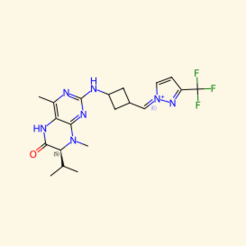 Cc1nc(NC2CC(/C=[N+]3\C=CC(C(F)(F)F)=N3)C2)nc2c1NC(=O)[C@H](C(C)C)N2C